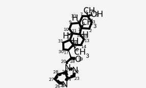 CC12CC[C@@](C)(O)C[C@@H]1CC[C@@H]1[C@@H]2CC[C@]2(C)[C@@H](C(=O)Cn3ncc4ncccc43)CC[C@@H]12